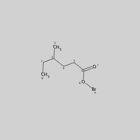 CCC(C)CCC(=O)OBr